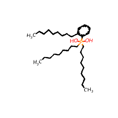 CCCCCCCCCc1ccccc1P(O)(O)(CCCCCCCCC)CCCCCCCCC